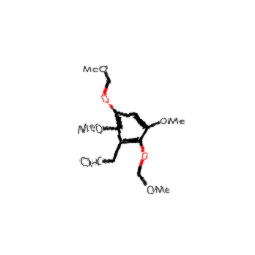 COCOc1cc(OC)c(OCOC)c(CC=O)c1OC